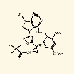 COc1ccc(CNc2nccc3c2c(-c2cc(C4(O)CC4)on2)nn3C(C)C)c(OC)c1.O=C(O)C(F)(F)F